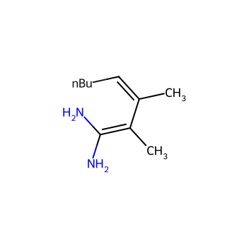 CCCCC=C(C)C(C)=C(N)N